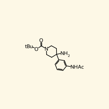 CC(=O)Nc1cccc(C2(N)CCN(C(=O)OC(C)(C)C)CC2)c1